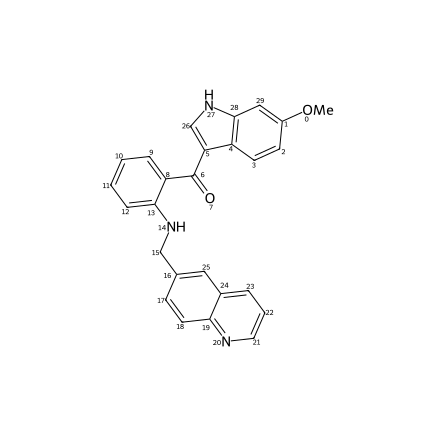 COc1ccc2c(C(=O)c3ccccc3NCc3ccc4ncccc4c3)c[nH]c2c1